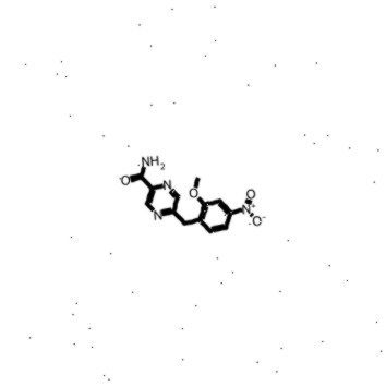 COc1cc([N+](=O)[O-])ccc1Cc1cnc(C(N)=O)cn1